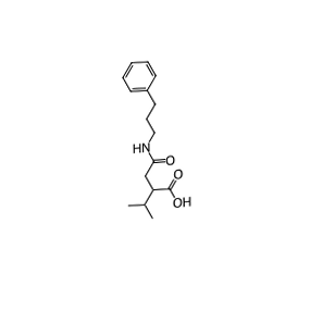 CC(C)C(CC(=O)NCCCc1ccccc1)C(=O)O